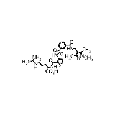 Cc1nn(C)c(C)c1CNC(=O)c1cccc(S(=O)(=O)Nc2ccsc2C(=O)N[C@@H](CCCNC(N)N)C(=O)O)c1